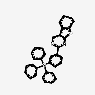 c1ccc([Si](c2ccccc2)(c2ccccc2)c2cccc(-c3ncc4c(n3)oc3ccccc34)c2)cc1